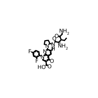 CCC(C(=O)CN)[C@H](N)C(=O)NC1CCCN1c1nc2c(cc1F)c(=O)c(C(=O)O)cn2-c1ccc(F)cc1F